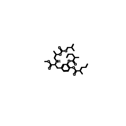 CCCC(C)C(=O)Oc1ccc(C[C@H](NCC(C)OC(=O)OCC(C)C)C(=O)OC)cc1OC(=O)C(C)CCC